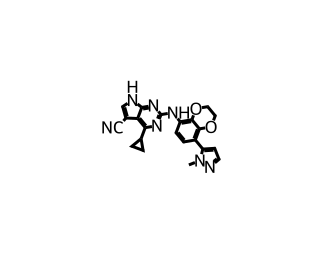 Cn1nccc1-c1ccc(Nc2nc(C3CC3)c3c(C#N)c[nH]c3n2)c2c1OCCO2